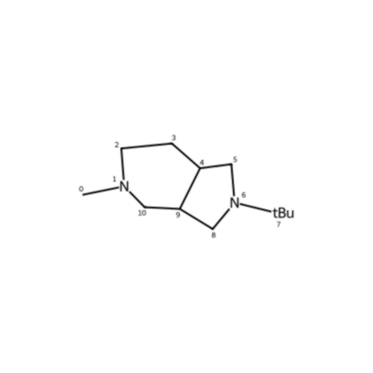 CN1CCC2CN(C(C)(C)C)CC2C1